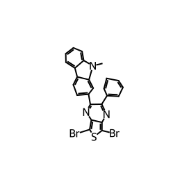 Cn1c2ccccc2c2ccc(-c3nc4c(Br)sc(Br)c4nc3-c3ccccc3)cc21